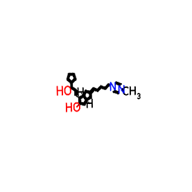 CN1CCN(CCCCC=C2C[C@H]3C[C@@H](O)[C@H](C=C[C@@H](O)C4CCCC4)[C@H]3C2)CC1